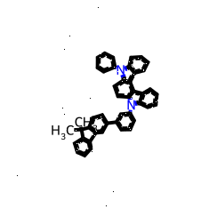 CC1(C)c2ccccc2-c2cc(-c3cccc(-n4c5ccccc5c5c6c7ccccc7n(-c7ccccc7)c6ccc54)c3)ccc21